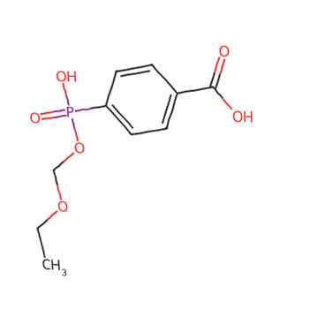 CCOCOP(=O)(O)c1ccc(C(=O)O)cc1